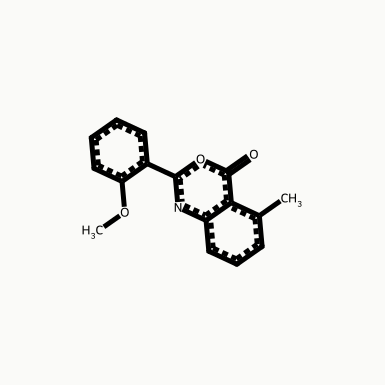 COc1ccccc1-c1nc2cccc(C)c2c(=O)o1